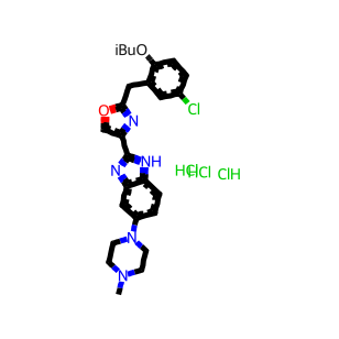 CC(C)COc1ccc(Cl)cc1Cc1nc(-c2nc3cc(N4CCN(C)CC4)ccc3[nH]2)co1.Cl.Cl.Cl